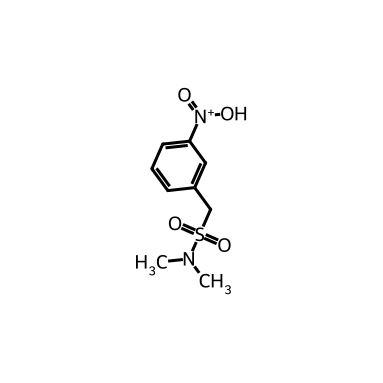 CN(C)S(=O)(=O)Cc1cccc([N+](=O)O)c1